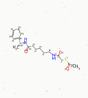 CC(=O)SCC(=O)NCCCCCC(=O)N[C@H](C)c1ccccc1